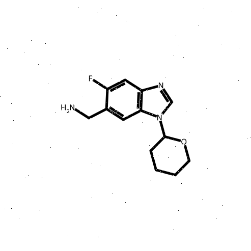 NCc1cc2c(cc1F)ncn2C1CCCCO1